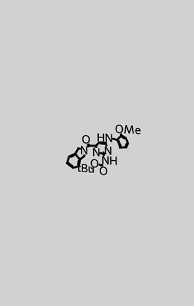 COc1ccccc1Nc1cc(C(=O)N2Cc3ccccc3C2)nc(NC(=O)OC(C)(C)C)n1